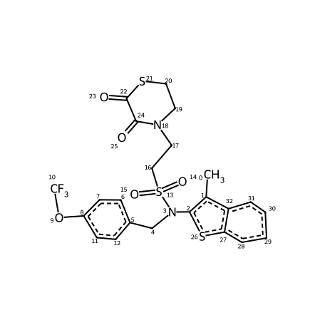 Cc1c(N(Cc2ccc(OC(F)(F)F)cc2)S(=O)(=O)CCN2CCSC(=O)C2=O)sc2ccccc12